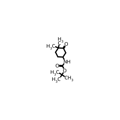 CC(C)(C)OC(=O)NC1CCC(C)(C)C(=O)C1